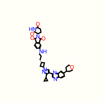 O=C1CCC(N2C(=O)c3ccc(NCCC[C@H]4C[C@@H](n5cc(-c6cnc7ccc(C8CCOCC8)cc7n6)c(C6CC6)n5)C4)cc3C2=O)C(=O)N1